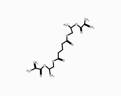 C=C(C)C(=O)OC(C)COC(=O)CCCC(=O)OCC(C)OC(=O)C(=C)C